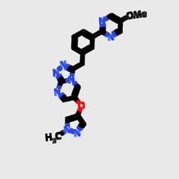 COc1cnc(-c2cccc(Cc3nnc4ncc(Oc5cnn(C)c5)cn34)c2)nc1